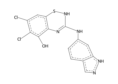 Oc1c(Cl)c(Cl)cc2c1N=C(Nc1ccc3cn[nH]c3c1)NS2